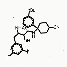 CC(=O)NC(Cc1cc(F)cc(F)c1)C(O)CNC1(c2cccc(C(C)(C)C)c2)CCC(C#N)CC1